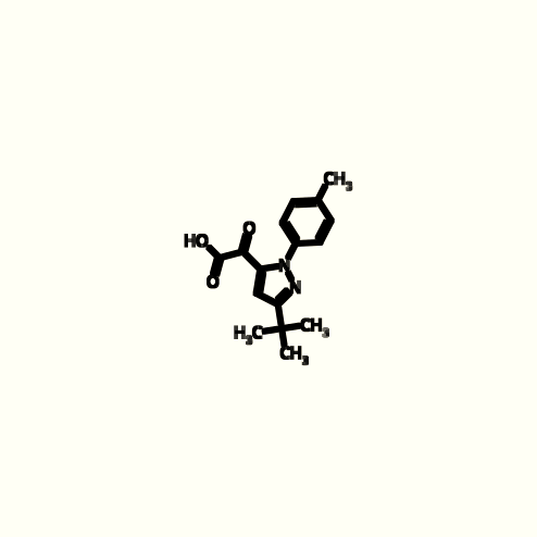 Cc1ccc(-n2nc(C(C)(C)C)cc2C(=O)C(=O)O)cc1